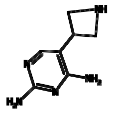 Nc1ncc(C2CNC2)c(N)n1